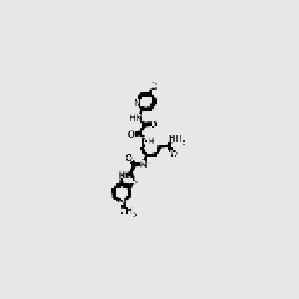 CN1CCc2nc(C(=O)NC(CCC(N)=O)CNC(=O)C(=O)Nc3ccc(Cl)cn3)sc2C1